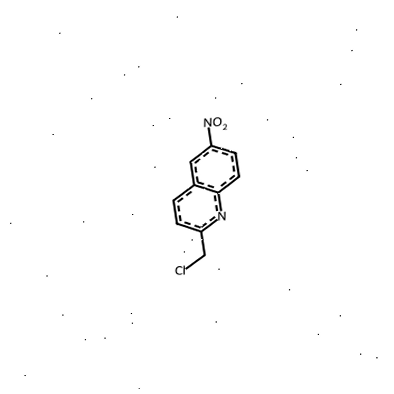 O=[N+]([O-])c1ccc2nc(CCl)ccc2c1